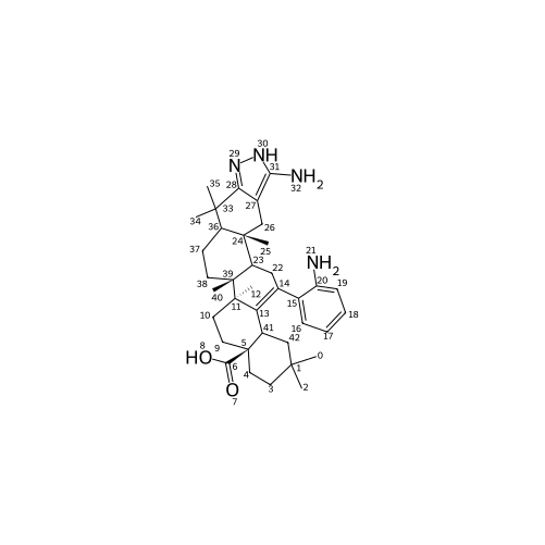 CC1(C)CC[C@]2(C(=O)O)CC[C@]3(C)C(=C(c4ccccc4N)CC4[C@@]5(C)Cc6c(n[nH]c6N)C(C)(C)C5CC[C@]43C)C2C1